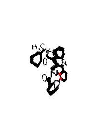 C[C@H](NC(=O)c1c(CN2CCn3cccc3C2=O)c(-c2ccccc2)nc2ccccc12)C1CCCCC1